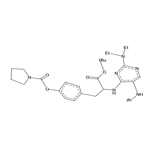 CCN(CC)c1ncc(NC(C)C)c(NC(Cc2ccc(OC(=O)N3CCCC3)cc2)C(=O)OC(C)(C)C)n1